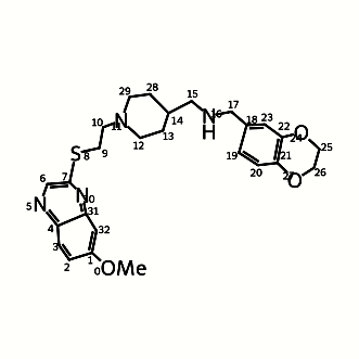 COc1ccc2ncc(SCCN3CCC(CNCc4ccc5c(c4)OCCO5)CC3)nc2c1